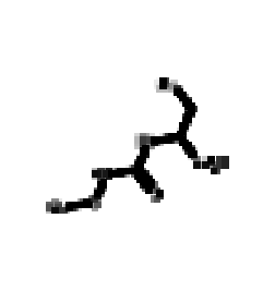 CC(C)(C)CC(NC(=O)NOC(C)(C)C)C(=O)O